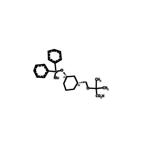 CC(C)(OC[C@@H]1CCC[C@H](O[Si](c2ccccc2)(c2ccccc2)C(C)(C)C)C1)C(=O)O